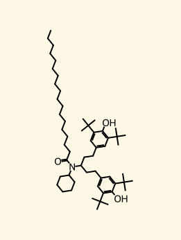 CCCCCCCCCCCCCCCCCC(=O)N(C1CCCCC1)C(CCc1cc(C(C)(C)C)c(O)c(C(C)(C)C)c1)CCc1cc(C(C)(C)C)c(O)c(C(C)(C)C)c1